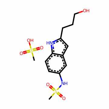 CS(=O)(=O)Nc1ccc2[nH]c(CCCO)cc2c1.CS(=O)(=O)O